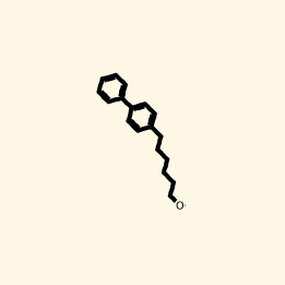 [O]CCCCCCc1ccc(-c2ccccc2)cc1